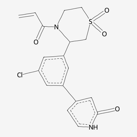 C=CC(=O)N1CCS(=O)(=O)CC1c1cc(Cl)cc(-c2cc[nH]c(=O)c2)c1